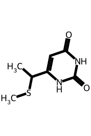 CSC(C)c1cc(=O)[nH]c(=O)[nH]1